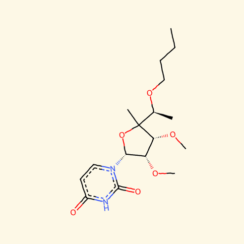 CCCCO[C@@H](C)C1(C)O[C@@H](n2ccc(=O)[nH]c2=O)[C@@H](OC)[C@H]1OC